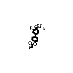 O=C(CI)Oc1ccc(-c2ccc(OC(F)(F)F)c(F)c2)cc1